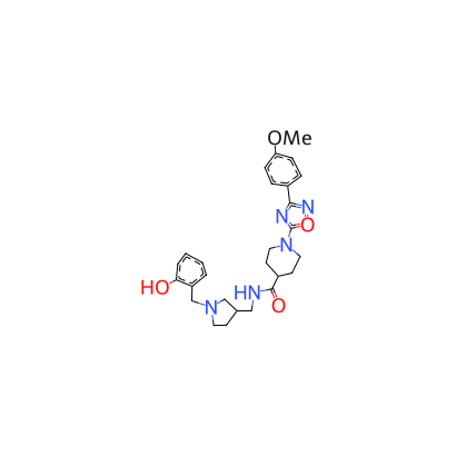 COc1ccc(-c2noc(N3CCC(C(=O)NCC4CCN(Cc5ccccc5O)C4)CC3)n2)cc1